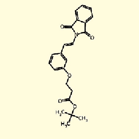 CC(C)(C)OC(=O)CCOc1cccc(C=CN2C(=O)c3ccccc3C2=O)c1